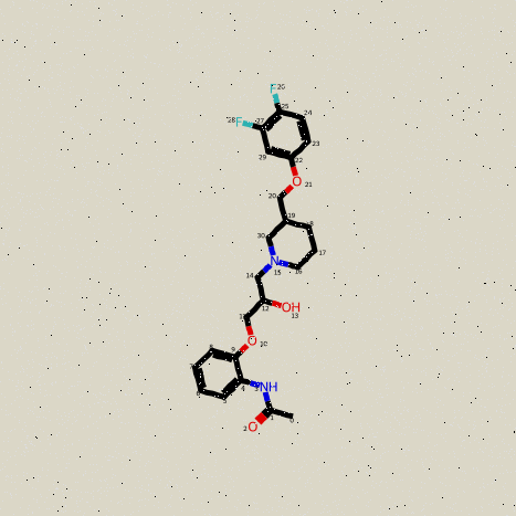 CC(=O)Nc1ccccc1OCC(O)CN1CCCC(COc2ccc(F)c(F)c2)C1